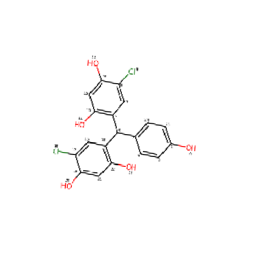 Oc1ccc(C(c2cc(Cl)c(O)cc2O)c2cc(Cl)c(O)cc2O)cc1